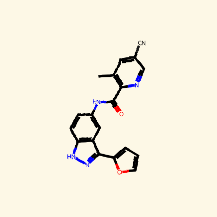 Cc1cc(C#N)cnc1C(=O)Nc1ccc2[nH]nc(-c3ccco3)c2c1